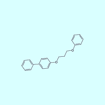 c1ccc(OCCCOc2ccc(-c3ccccc3)cc2)cc1